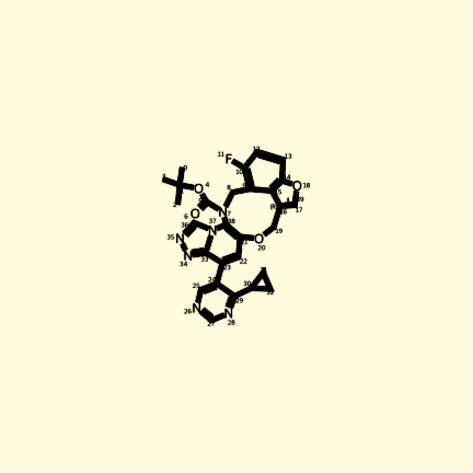 CC(C)(C)OC(=O)N1Cc2c(F)ccc3c2[C@H](CO3)COc2cc(-c3cncnc3C3CC3)c3nncn3c21